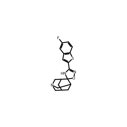 Fc1ccc2sc(C3=NOC4(N3)C3CC5CC4CN(C5)C3)cc2c1